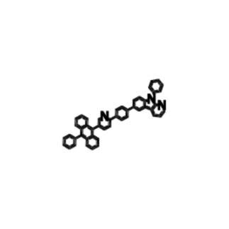 c1ccc(-c2c3ccccc3c(-c3ccc(-c4ccc(-c5ccc6c(c5)c5cccnc5n6-c5ccccc5)cc4)nc3)c3ccccc23)cc1